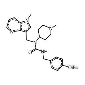 CC(C)COc1ccc(CNC(=O)N(Cc2cn(C)c3cccnc23)C2CCN(C)CC2)cc1